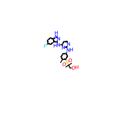 Cc1ccc(Nc2nccc(Nc3n[nH]c4ccc(F)cc34)n2)cc1S(=O)(=O)C(C)(C)CO